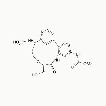 COC(=O)Nc1ccc2c(c1)NC(=O)[C@@H](CO)CCC[C@H](NC(=O)O)c1cc-2ccn1